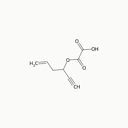 C#CC(CC=C)OC(=O)C(=O)O